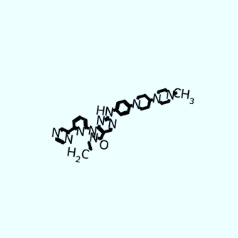 C=CCn1c(=O)c2cnc(Nc3ccc(N4CCC(N5CCN(C)CC5)CC4)cc3)nc2n1-c1cccc(-c2cnccn2)n1